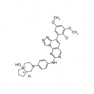 COc1cc(OC)c(Cl)c(-c2cc3cnc(Nc4ccc(N5CC[N+]6(O)CCC[C@@H]6C5)cc4)nc3n3cnnc23)c1